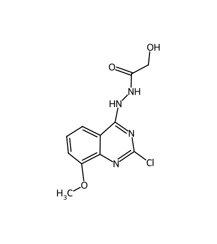 COc1cccc2c(NNC(=O)CO)nc(Cl)nc12